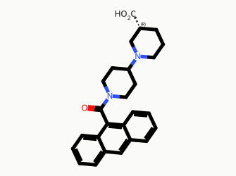 O=C(O)[C@@H]1CCCN(C2CCN(C(=O)c3c4ccccc4cc4ccccc34)CC2)C1